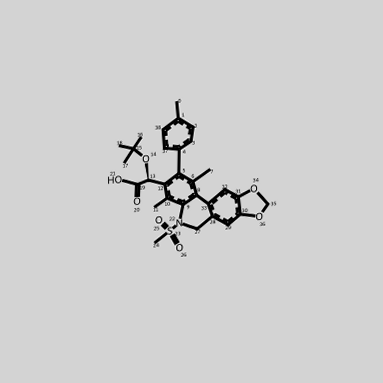 Cc1ccc(-c2c(C)c3c(c(C)c2[C@H](OC(C)(C)C)C(=O)O)N(S(C)(=O)=O)Cc2cc4c(cc2-3)OCO4)cc1